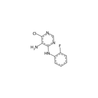 Nc1c(Cl)ncnc1Nc1ccccc1F